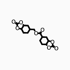 O=C1OC2CCC(COC(=O)C3CCC4OC(=O)OC4C3)CC2O1